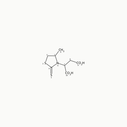 CC1CSC(=S)N1C(CC(=O)O)C(=O)O